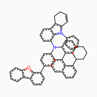 C1=Cc2c(c3cccc(N(c4ccc(-c5cccc6c5oc5ccccc56)cc4)c4ccccc4-c4cccc5cccc(C6CCCCC6)c45)c3n2-c2ccccc2)CC1